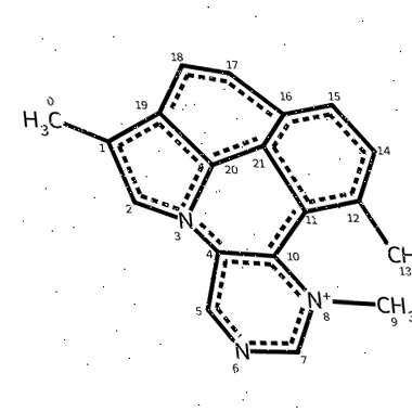 Cc1cn2c3cnc[n+](C)c3c3c(C)ccc4ccc1c2c43